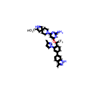 Cc1ccn(-c2cc(-c3ccc4c(C)n[nH]c4c3)ccc2C(Oc2cc(N3CCC4(CC3)CN[C@H](C(=O)O)C4)nc(N)n2)C(F)(F)F)n1